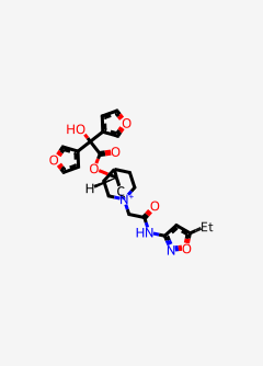 CCc1cc(NC(=O)C[N+]23CCC(CC2)[C@@H](OC(=O)C(O)(c2ccoc2)c2ccoc2)C3)no1